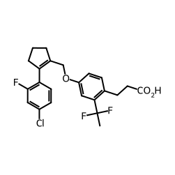 CC(F)(F)c1cc(OCC2=C(c3ccc(Cl)cc3F)CCC2)ccc1CCC(=O)O